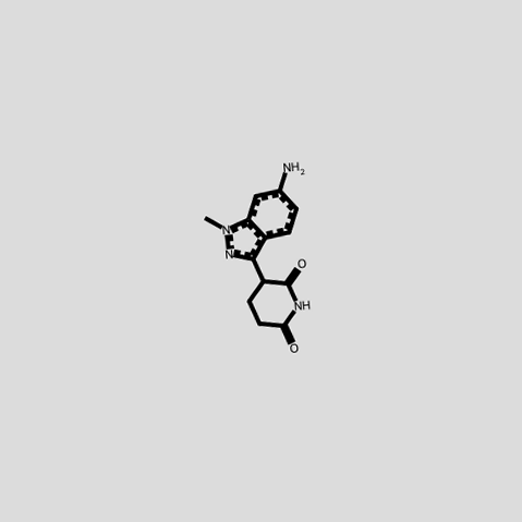 Cn1nc(C2CCC(=O)NC2=O)c2ccc(N)cc21